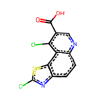 O=C(O)c1cnc2ccc3nc(Cl)sc3c2c1Cl